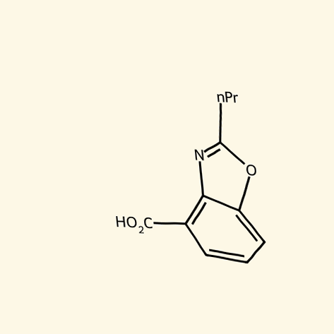 CCCc1nc2c(C(=O)O)cccc2o1